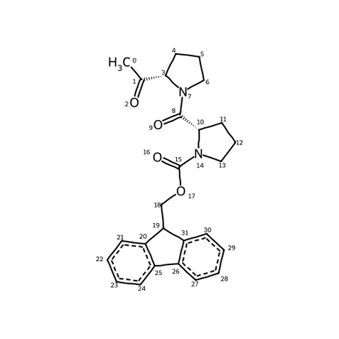 CC(=O)[C@@H]1CCCN1C(=O)[C@@H]1CCCN1C(=O)OCC1c2ccccc2-c2ccccc21